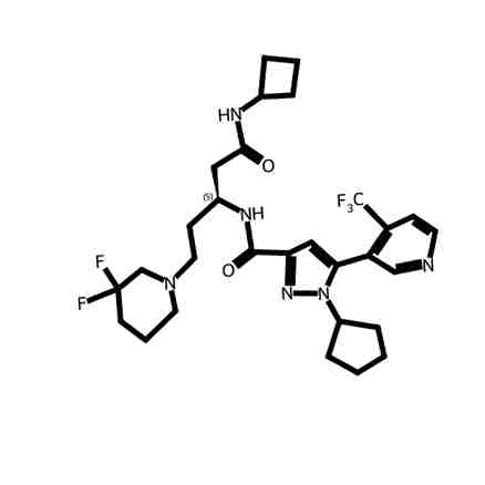 O=C(C[C@H](CCN1CCCC(F)(F)C1)NC(=O)c1cc(-c2cnccc2C(F)(F)F)n(C2CCCC2)n1)NC1CCC1